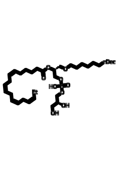 CC/C=C\C/C=C\C/C=C\C/C=C\CCCCC(=O)O[C@H](COCCCCCCCCCCCCCCCC)COP(=O)(O)OC[C@@H](O)CO